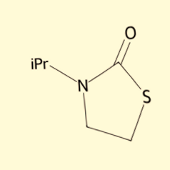 CC(C)N1CCSC1=O